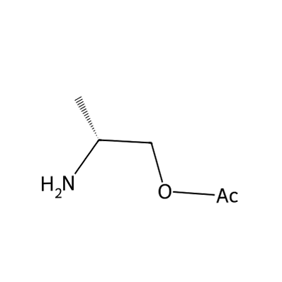 CC(=O)OC[C@@H](C)N